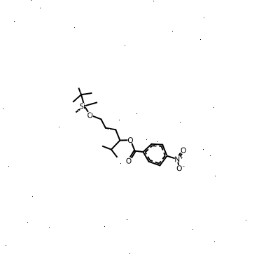 CC(C)C(CCCO[Si](C)(C)C(C)(C)C)OC(=O)c1ccc([N+](=O)[O-])cc1